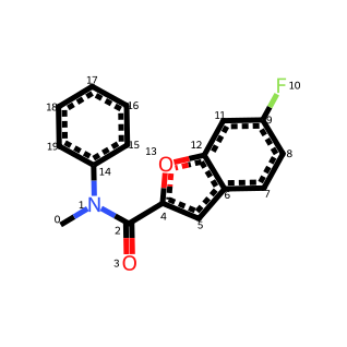 CN(C(=O)c1cc2ccc(F)cc2o1)c1ccccc1